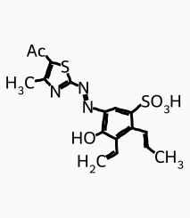 C=Cc1c(O)c(N=Nc2nc(C)c(C(C)=O)s2)cc(S(=O)(=O)O)c1C=CC